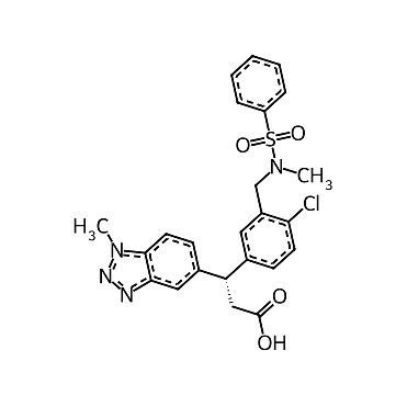 CN(Cc1cc([C@H](CC(=O)O)c2ccc3c(c2)nnn3C)ccc1Cl)S(=O)(=O)c1ccccc1